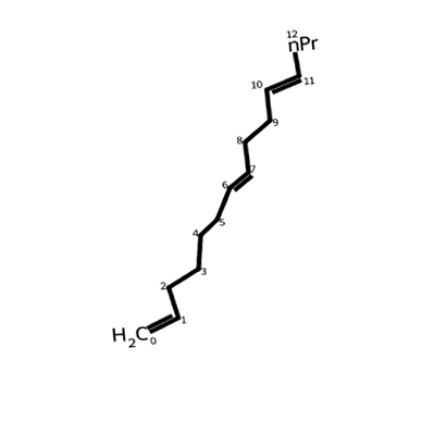 C=CCCCCC=CCCC=CCCC